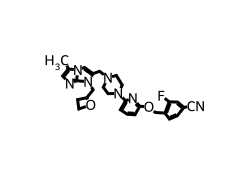 Cc1cnc2n(CC3CCO3)c(CN3CCN(c4cccc(OCc5ccc(C#N)cc5F)n4)CC3)cn12